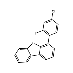 Clc1ccc(-c2cccc3c2oc2ccccc23)c(I)c1